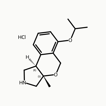 CC(C)Oc1cccc2c1CO[C@]1(C)CNC[C@@H]21.Cl